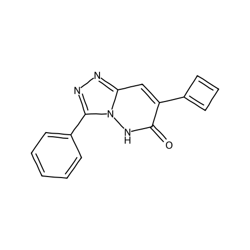 O=c1[nH]n2c(-c3ccccc3)nnc2cc1C1=CC=C1